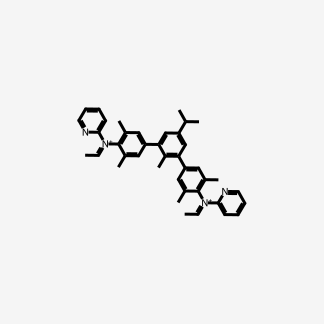 CC=[N+](c1ccccn1)c1c(C)cc(-c2cc(C(C)C)cc(-c3cc(C)c([N+](=CC)c4ccccn4)c(C)c3)c2C)cc1C